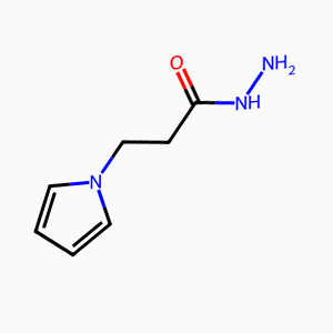 NNC(=O)CCn1cccc1